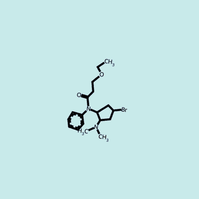 CCOCCC(=O)N(c1ccccc1)C1CC(Br)CC1N(C)C